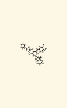 O=C1C[C@@H](c2ccccc2)CN1Cc1ccc(-c2nc3cccnc3[nH]2)cc1Oc1ccc(Cl)c(F)c1